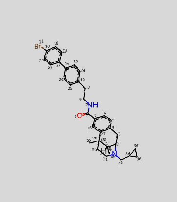 C[C@H]1C2Cc3ccc(C(=O)NCCc4ccc(-c5ccc(Br)cc5)cc4)cc3[C@@]1(C)CCN2CC1CC1